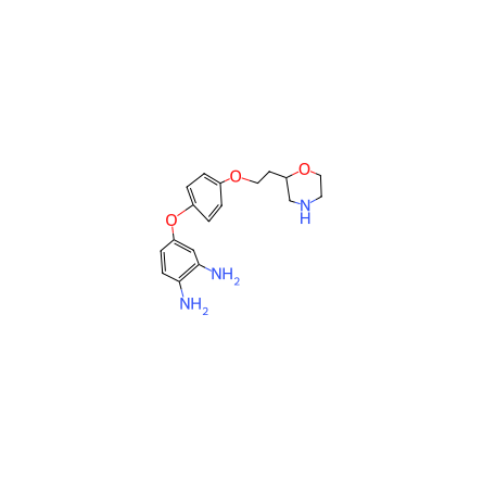 Nc1ccc(Oc2ccc(OCCC3CNCCO3)cc2)cc1N